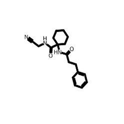 N#CCNC(=O)C1(NC(=O)CCc2ccccc2)CCCCC1